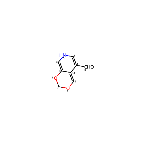 O=CC1=CNC=C2OCOC=C12